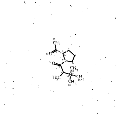 CC(C(=O)N1CCC[C@H]1C(=O)O)[N+](C)(C)C